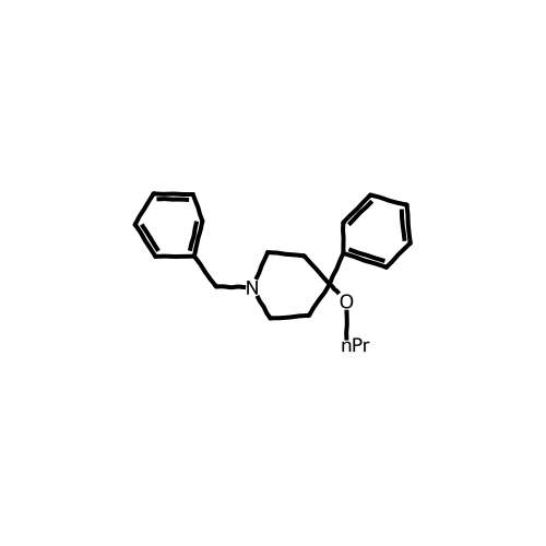 CCCOC1(c2ccccc2)CCN(Cc2ccccc2)CC1